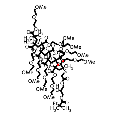 CCC(C)(C)C(=O)OCC(O)COC(=O)CSC(C)(CC(C)(CC(C)(CC(C)(CC(C)(CC(C)(CC(C)(CC(C)(CC(C)(C)C(=O)OCCOCCOC)C(=O)OCCOCCOC)C(=O)OCCOCCOC)C(=O)OCCOCCOC)C(=O)OCCOCCOC)C(=O)OCCOCCOC)C(=O)OCCOCCOC)C(=O)OCCOCCOC)C(=O)OCCOCCOC